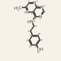 Cc1cnc2ncnc(NCCc3ccc(O)cc3)c2n1